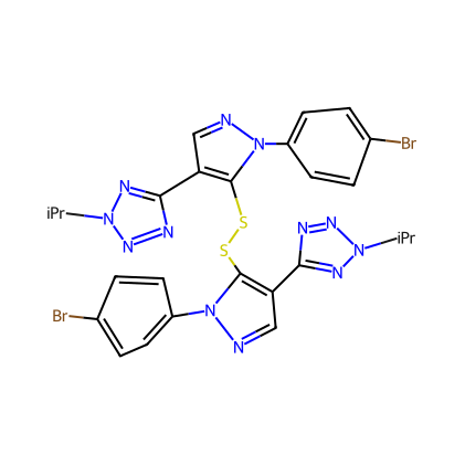 CC(C)n1nnc(-c2cnn(-c3ccc(Br)cc3)c2SSc2c(-c3nnn(C(C)C)n3)cnn2-c2ccc(Br)cc2)n1